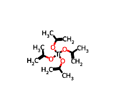 C=C(C)[O][Ti]([O]C(=C)C)([O]C(=C)C)[O]C(=C)C